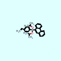 C=Cc1ccc([Si](OC(C)C)(OC(C)C)c2cc3ccccc3c3ccccc23)cc1